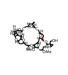 C=C1C[C@@H]2CC[C@@]3(O)C[C@@H](S)[C@@H]4C(C)[C@@H]5C4O[C@H]4CC[C@H](CC(=O)C[C@@H]6[C@@H](OC)[C@@H](C[C@@H](CNC(=O)C7(CO)CC7)OC)O[C@H]6C[C@H]6O[C@H](CCC6=C)CC[C@@H]1O2)O[C@@H]4[C@@H]5O3